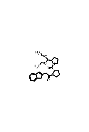 CCOC(OCC)C1CCCN1C(=O)[C@@H]1CCCN1C(=O)CC1=Cc2ccccc2C1